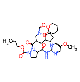 C=CCOC(=O)N1CCC(C(=O)Nc2ncc(OC)cn2)N1C(=O)[C@H](CC1CCCC1)CN(C=O)OC1CCCCO1